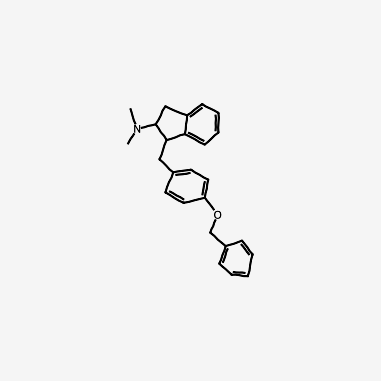 CN(C)C1Cc2ccccc2C1Cc1ccc(OCc2ccccc2)cc1